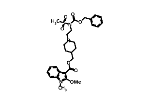 COc1c(C(=O)OCC2CCN(CCN(C(=O)OCc3ccccc3)S(C)(=O)=O)CC2)c2ccccc2n1C